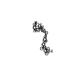 CC1(Oc2ccc3n[nH]c(-c4cc(N5CCC(OC6CC(N7CC[C@@H](c8ccc9c(c8)CN(C8CCC(=O)NC8=O)C9=O)[C@@H](F)C7)C6)CC5)ncn4)c3c2)CC1